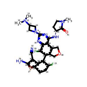 CN1CC[C@@H](Nc2nc(N3CC(N(C)C)C3)nc3c(F)c(-c4c(F)ccc5sc(N)c(C#N)c45)c4c(c23)COC4)C1=O